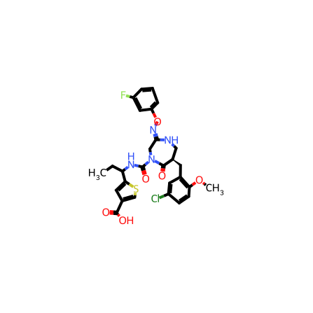 CCC(NC(=O)N1C/C(=N/Oc2cccc(F)c2)NC[C@@H](Cc2cc(Cl)ccc2OC)C1=O)c1cc(C(=O)O)cs1